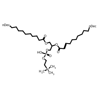 CCCCCCCCCCCCCCCCCC=CC(=O)OC(COC(=O)CCCCCCCCCCCCCCCCCCC)COP(=O)(O)OCC[N+](C)(C)C